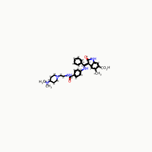 Cc1cc2c(cc1C(=O)O)NC(=O)/C2=C(/Nc1ccc(C(=O)NCCN2CCC(N(C)C)CC2)cc1)c1ccccc1